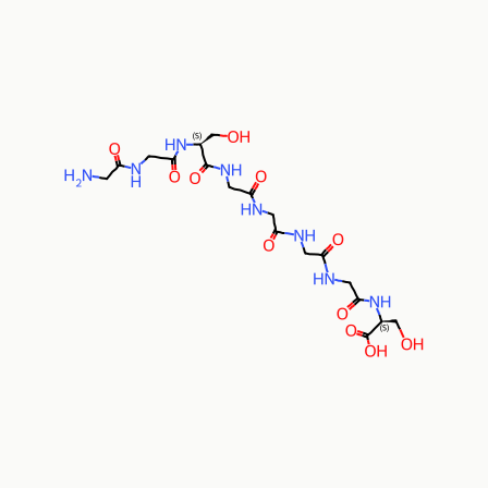 NCC(=O)NCC(=O)N[C@@H](CO)C(=O)NCC(=O)NCC(=O)NCC(=O)NCC(=O)N[C@@H](CO)C(=O)O